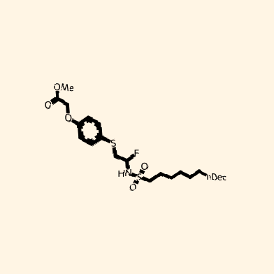 CCCCCCCCCCCCCCCCS(=O)(=O)NC(F)CSc1ccc(OCC(=O)OC)cc1